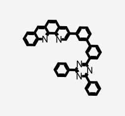 c1ccc(-c2nc(-c3ccccc3)nc(-c3cccc(-c4cccc(-c5cnc6c(ccc7cc8ccccc8nc76)c5)c4)c3)n2)cc1